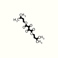 CC(C)CCOC(=O)C(=O)C(=O)C(=O)OCCC(C)C